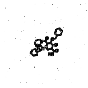 O=C(O)c1cn2c(c(OCc3ccccc3)c1=O)C(=O)N1CCCO[C@H]1[C@@H]2Cc1ccccc1